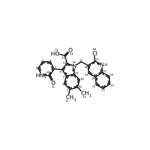 Cc1cc2c(-c3ccc[nH]c3=O)c(C(=O)O)n(Cc3cc4ccccc4nc3Cl)c2cc1C